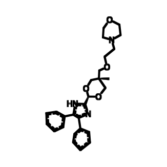 C[C@]1(COCCN2CCOCC2)CO[C@H](c2nc(-c3ccccc3)c(-c3ccccc3)[nH]2)OC1